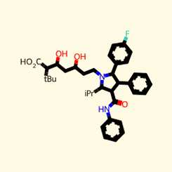 CC(C)C1C(C(=O)Nc2ccccc2)C(c2ccccc2)C(c2ccc(F)cc2)N1CCC(O)CC(O)C(C(=O)O)C(C)(C)C